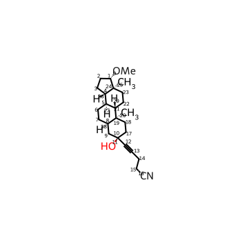 CO[C@H]1CC[C@H]2[C@@H]3CC[C@@H]4C[C@@](O)(C#CCCC#N)CC[C@]4(C)[C@H]3CC[C@]12C